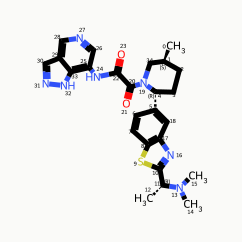 C[C@H]1CC[C@H](c2ccc3sc([C@@H](C)N(C)C)nc3c2)N(C(=O)C(=O)Nc2cncc3cn[nH]c23)C1